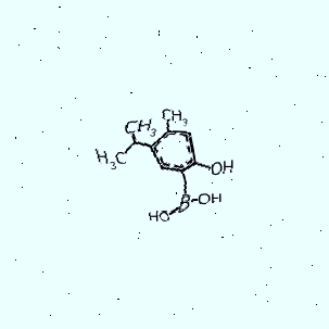 Cc1cc(O)c(B(O)O)cc1C(C)C